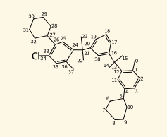 Cc1ccc(C2CCCCC2)cc1C(C)(C)c1cccc(C(C)(C)c2cc(C3CCCCC3)c(Cl)cc2C)c1